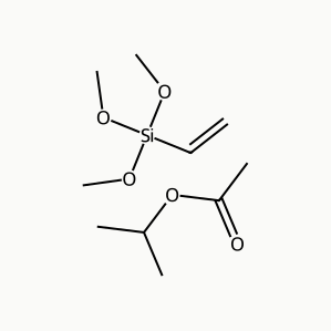 C=C[Si](OC)(OC)OC.CC(=O)OC(C)C